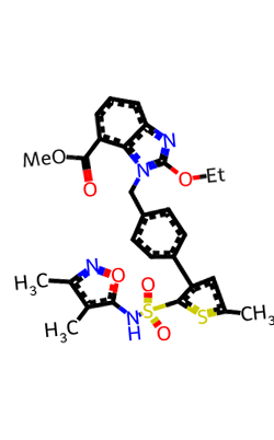 CCOc1nc2cccc(C(=O)OC)c2n1Cc1ccc(-c2cc(C)sc2S(=O)(=O)Nc2onc(C)c2C)cc1